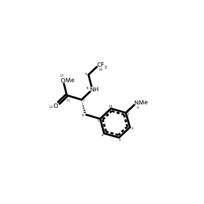 CNc1cccc(C[C@@H](NCC(F)(F)F)C(=O)OC)c1